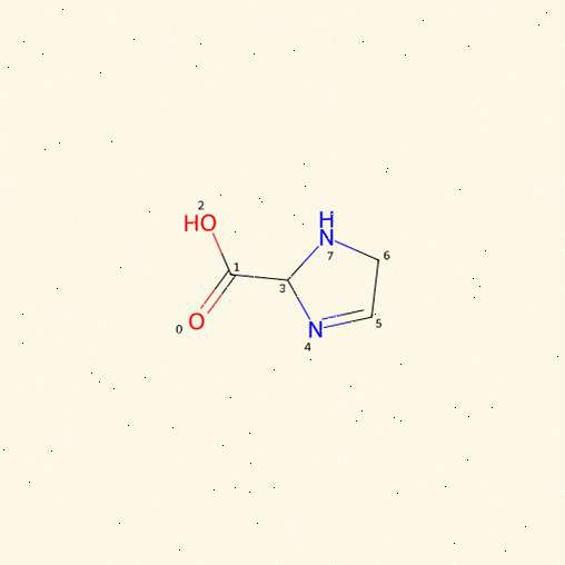 O=C(O)C1N=CCN1